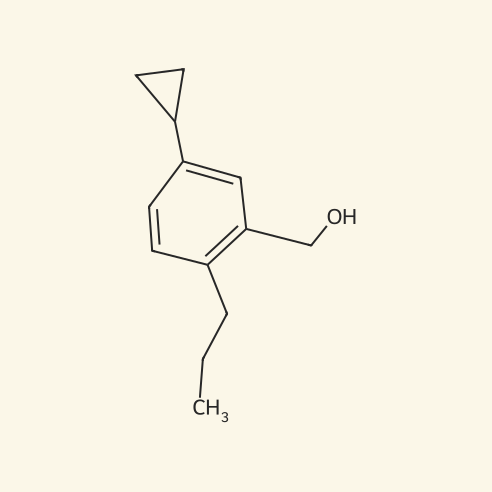 CCCc1ccc(C2CC2)cc1CO